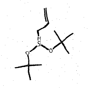 C=CC[SiH](OC(C)(C)C)OC(C)(C)C